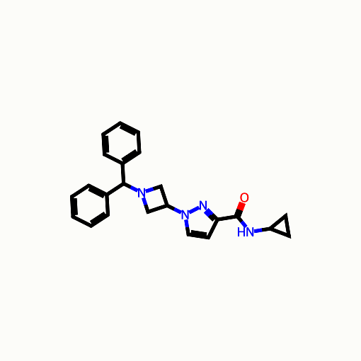 O=C(NC1CC1)c1ccn(C2CN(C(c3ccccc3)c3ccccc3)C2)n1